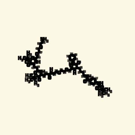 CC(C)(C)OC(=O)Nc1ccc(C(=O)NCCCCC(NC(=O)COCCOCCNC(=O)CCC(NC(=O)CCC(NC(=O)COCCOCCN)C(=O)OC(C)(C)C)C(=O)OC(C)(C)C)C(=O)Nc2ccccc2)cc1